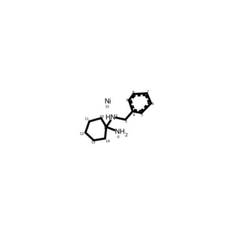 NC1(NCc2ccccc2)CCCCC1.[Ni]